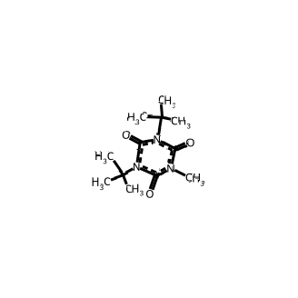 Cn1c(=O)n(C(C)(C)C)c(=O)n(C(C)(C)C)c1=O